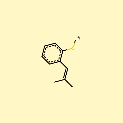 CC(C)=Cc1ccccc1SC(C)C